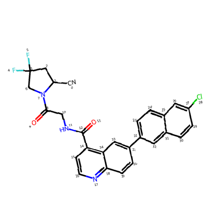 N#CC1CC(F)(F)CN1C(=O)CNC(=O)c1ccnc2ccc(-c3ccc4cc(Cl)ccc4c3)cc12